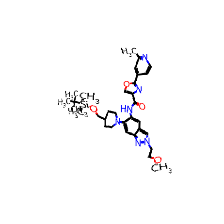 COCCn1cc2cc(NC(=O)c3coc(-c4ccnc(C)c4)n3)c(N3CCC(CO[Si](C)(C)C(C)(C)C)CC3)cc2n1